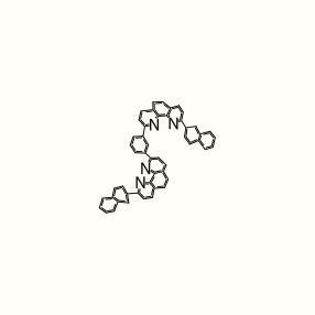 C1=C=c2ccccc2=CC=1c1ccc2ccc3ccc(-c4cccc(-c5ccc6ccc7ccc(-c8ccc9ccccc9c8)nc7c6n5)c4)nc3c2n1